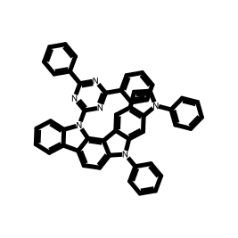 c1ccc(-c2nc(-c3ccccc3)nc(-n3c4ccccc4c4ccc5c(c6cc7ccn(-c8ccccc8)c7cc6n5-c5ccccc5)c43)n2)cc1